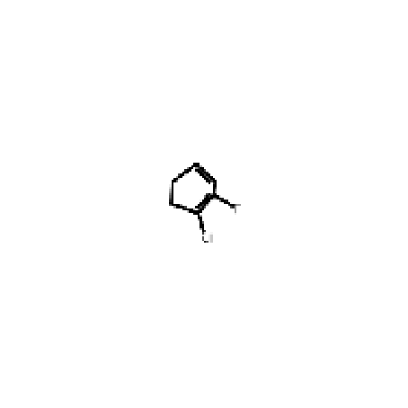 FC1=C(Cl)[CH]CC=C1